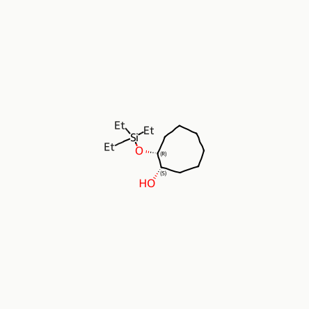 CC[Si](CC)(CC)O[C@@H]1CCCCCC[C@@H]1O